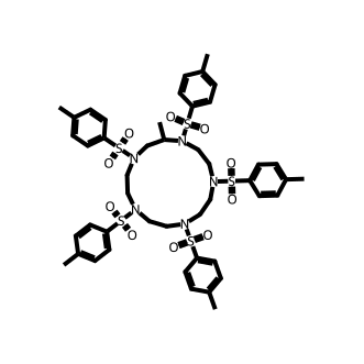 Cc1ccc(S(=O)(=O)N2CCN(S(=O)(=O)c3ccc(C)cc3)CCN(S(=O)(=O)c3ccc(C)cc3)CC(C)N(S(=O)(=O)c3ccc(C)cc3)CCN(S(=O)(=O)c3ccc(C)cc3)CC2)cc1